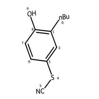 CCCCc1cc(SC#N)ccc1O